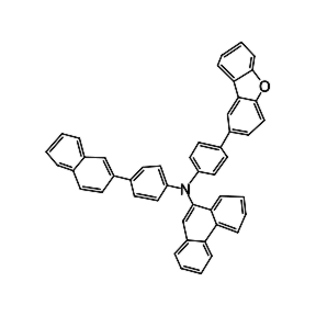 c1ccc2cc(-c3ccc(N(c4ccc(-c5ccc6oc7ccccc7c6c5)cc4)c4cc5ccccc5c5ccccc45)cc3)ccc2c1